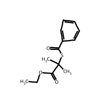 CCOC(=O)C(C)(C)SC(=O)c1ccccc1